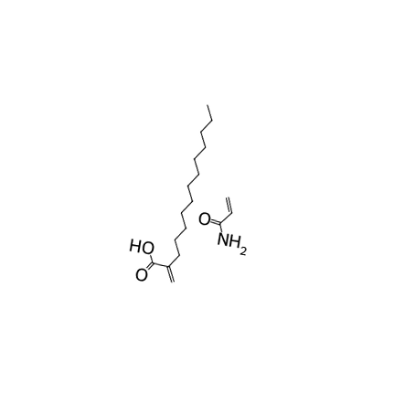 C=C(CCCCCCCCCCCC)C(=O)O.C=CC(N)=O